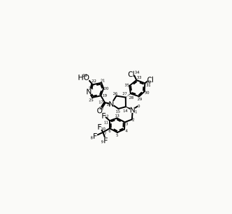 CN(Cc1ccc(C(F)(F)F)c(F)c1)[C@H]1CN(C(=O)c2ccc(O)nc2)C[C@@H]1c1ccc(Cl)c(Cl)c1